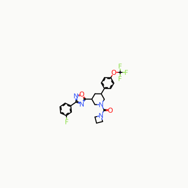 O=C(N1CCC1)N1CC(c2ccc(OC(F)(F)F)cc2)CC(c2nc(-c3cccc(F)c3)no2)C1